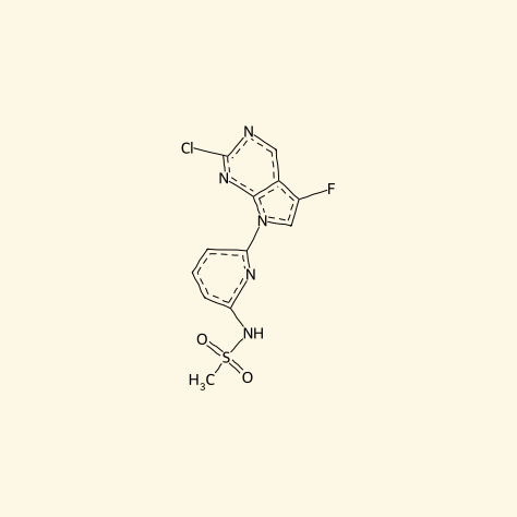 CS(=O)(=O)Nc1cccc(-n2cc(F)c3cnc(Cl)nc32)n1